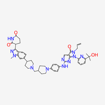 C=CCn1c(=O)c2cnc(Nc3ccc(N4CCC(CN5CCC(c6ccc7c(C8CCC(=O)NC8=O)nn(C)c7c6)CC5)CC4)cc3)nc2n1-c1cccc(C(C)(C)O)n1